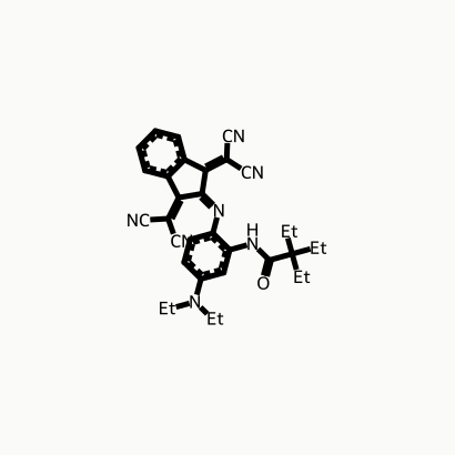 CCN(CC)c1ccc(N=C2C(=C(C#N)C#N)c3ccccc3C2=C(C#N)C#N)c(NC(=O)C(CC)(CC)CC)c1